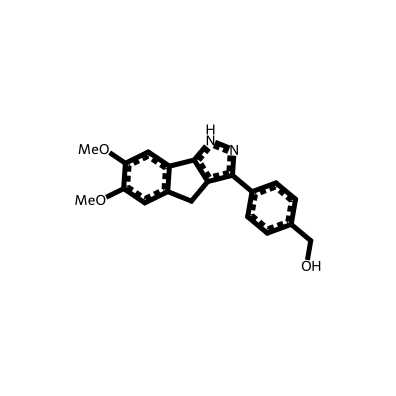 COc1cc2c(cc1OC)-c1[nH]nc(-c3ccc(CO)cc3)c1C2